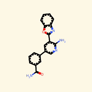 NC(=O)c1cccc(-c2cnc(N)c(-c3nc4ccccc4o3)c2)c1